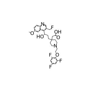 COc1ccc2ncc(CF)c(C(O)CCC3(CC(=O)O)CCN(CCOc4c(F)cc(F)cc4F)CC3)c2c1